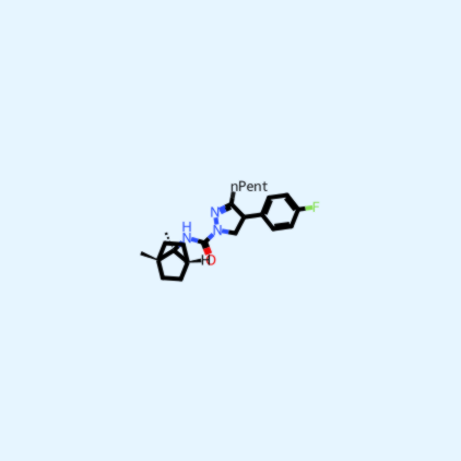 CCCCCC1=NN(C(=O)N[C@@]2(C)[C@H]3CC[C@]2(C)CC3)CC1c1ccc(F)cc1